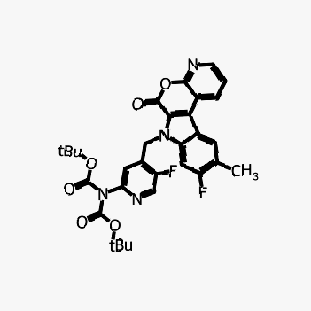 Cc1cc2c3c4cccnc4oc(=O)c3n(Cc3cc(N(C(=O)OC(C)(C)C)C(=O)OC(C)(C)C)ncc3F)c2cc1F